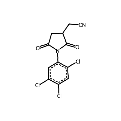 N#CCC1CC(=O)N(c2cc(Cl)c(Cl)cc2Cl)C1=O